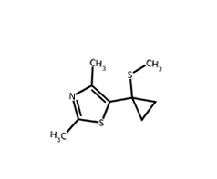 CSC1(c2sc(C)nc2C)CC1